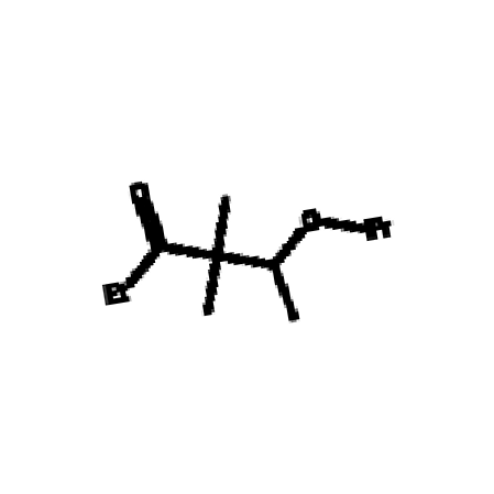 CCC(=O)C(C)(C)C(C)OC(C)C